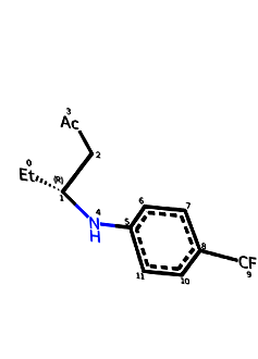 CC[C@H](CC(C)=O)Nc1ccc(C(F)(F)F)cc1